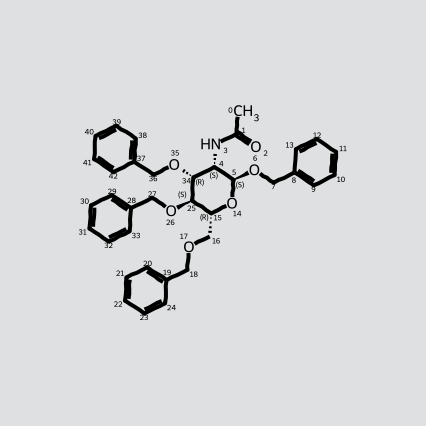 CC(=O)N[C@@H]1[C@@H](OCc2ccccc2)O[C@H](COCc2ccccc2)[C@@H](OCc2ccccc2)[C@@H]1OCc1ccccc1